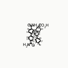 Cc1ccc(C2=NOC3(CCN(C(=O)O)CC3)C2)cc1.NC(=O)c1ccc(-c2ccc(C(N)=O)cc2)cc1